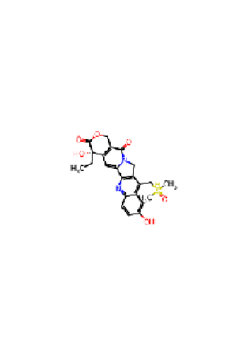 CC[C@@]1(O)C(=O)OCc2c1cc1n(c2=O)Cc2c-1nc1ccc(O)cc1c2C[SH](C)(C)=O